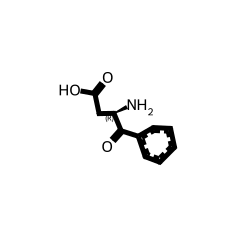 N[C@H](CC(=O)O)C(=O)c1ccccc1